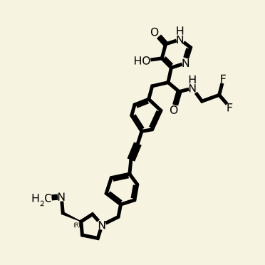 C=NC[C@@H]1CCN(Cc2ccc(C#Cc3ccc(CC(C(=O)NCC(F)F)c4nc[nH]c(=O)c4O)cc3)cc2)C1